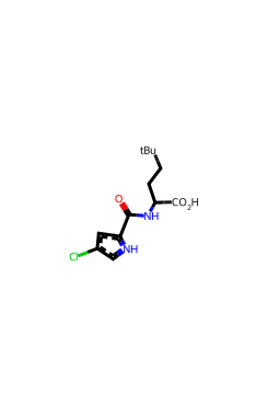 CC(C)(C)CCC(NC(=O)c1cc(Cl)c[nH]1)C(=O)O